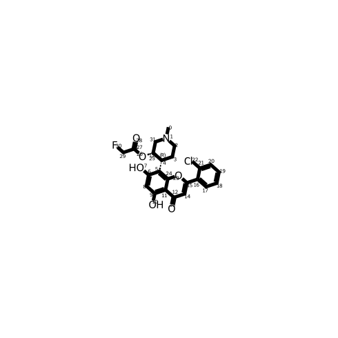 CN1CC[C@H](c2c(O)cc(O)c3c(=O)cc(-c4ccccc4Cl)oc23)[C@H](OC(=O)CF)C1